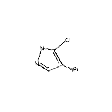 CC(C)C1=C(Cl)[N]N=C1